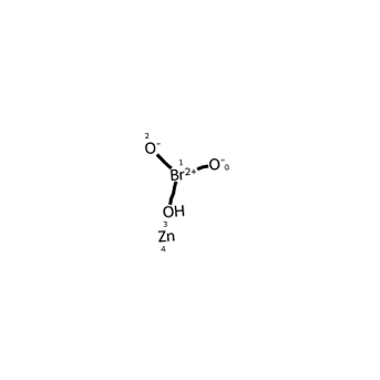 [O-][Br+2]([O-])O.[Zn]